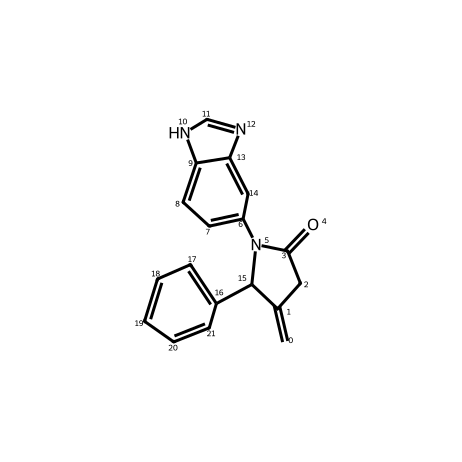 C=C1CC(=O)N(c2ccc3[nH]cnc3c2)C1c1ccccc1